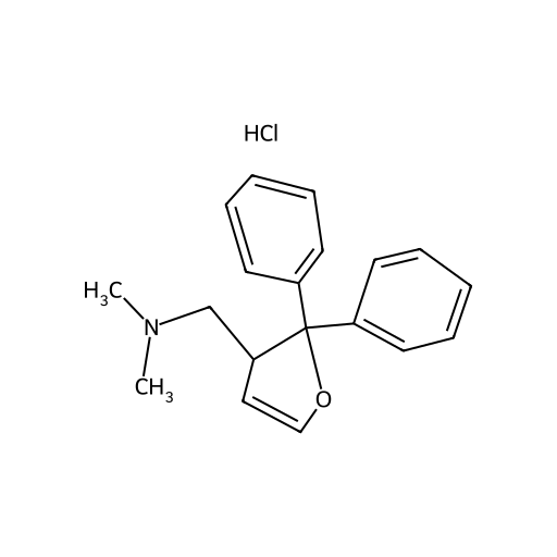 CN(C)CC1C=COC1(c1ccccc1)c1ccccc1.Cl